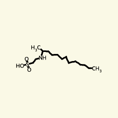 CCCCCCCCCCCC(C)NCCS(=O)(=O)O